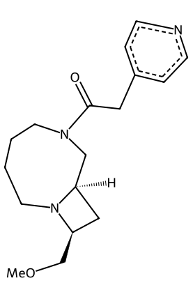 COC[C@@H]1C[C@@H]2CN(C(=O)Cc3ccncc3)CCCCN12